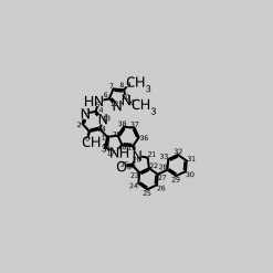 Cc1cnc(Nc2cc(C)n(C)n2)nc1-c1c[nH]c2c(N3Cc4c(cccc4-c4ccccc4)C3=O)cccc12